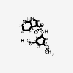 COc1cc(NS(=O)(=O)c2c[nH]c3ncccc23)cc(OC)c1